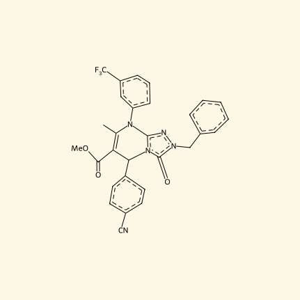 COC(=O)C1=C(C)N(c2cccc(C(F)(F)F)c2)c2nn(Cc3ccccc3)c(=O)n2C1c1ccc(C#N)cc1